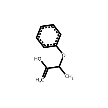 C=C(O)C(C)Oc1ccccc1